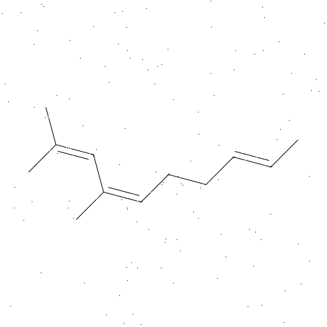 CC=CCCC=C(C)C=C(C)C